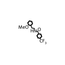 COc1ccccc1CCNC(=O)c1ccc(C(F)(F)F)cc1